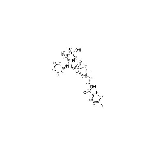 CCOP(=O)(O)CN(C(=O)NC1CCCCC1)S(=O)(=O)c1ccc(CCNC(=O)c2cnc(C)cn2)cc1